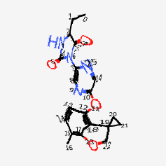 CCC1NC(=O)N(c2cnc(Oc3ccc(C)c4c3C3(CC3)CO4)cn2)C1=O